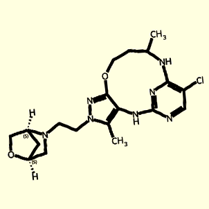 Cc1c2c(nn1CCN1C[C@@H]3C[C@H]1CO3)OCCC(C)Nc1nc(ncc1Cl)N2